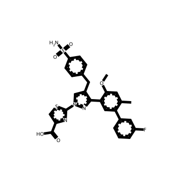 COc1cc(C)c(-c2cccc(F)c2)cc1-c1nn(-c2nc(C(=O)O)cs2)cc1Cc1ccc(S(N)(=O)=O)cc1